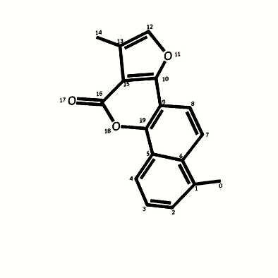 Cc1cccc2c1ccc1c3occ(C)c3c(=O)oc21